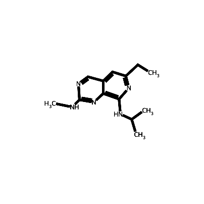 CCc1cc2cnc(NC)nc2c(NC(C)C)n1